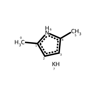 Cc1ccc(C)[nH]1.[KH]